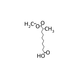 C=COC(=O)C(C)CCCCCCCC(=O)O